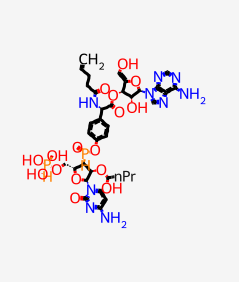 C=CCCC(=O)N[C@H](C(=O)O[C@@H]1/C(=C/O)O[C@@H](n2cnc3c(N)ncnc32)[C@@H]1O)c1ccc(O[PH](=O)[C@H]2[C@@H](OC(O)CCC)[C@H](n3ccc(N)nc3=O)O[C@@H]2CO[PH](O)(O)O)cc1